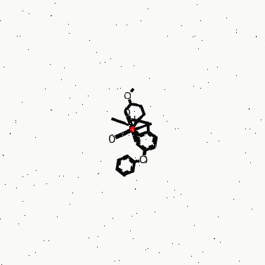 COC1CCC2(CC1)Cc1ccc(Oc3ccccc3)cc1C21NC(=O)N(C)C1=O